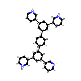 c1cncc(-c2cc(-c3ccc(-c4cc(-c5cccnc5)cc(-c5cccnc5)c4)cc3)cc(-c3cccnc3)c2)c1